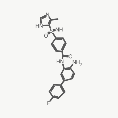 Cc1nc[nH]c1S(=N)(=O)c1ccc(C(=O)Nc2cc(-c3ccc(F)cc3)ccc2N)cc1